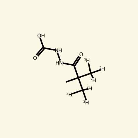 [2H]C([2H])([2H])C(C)(C(=O)NNC(=O)O)C([2H])([2H])[2H]